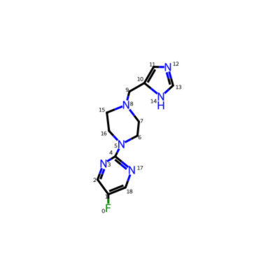 Fc1cnc(N2CCN(Cc3cnc[nH]3)CC2)nc1